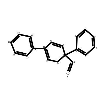 O=CC1(c2ccccc2)C=CC(c2ccccc2)=CC1